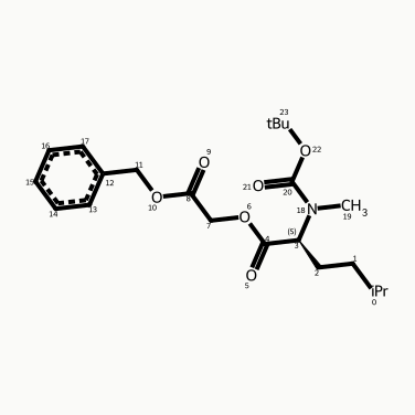 CC(C)CC[C@@H](C(=O)OCC(=O)OCc1ccccc1)N(C)C(=O)OC(C)(C)C